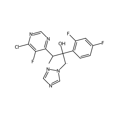 CC(c1ncnc(Cl)c1F)C(O)([CH]n1cncn1)c1ccc(F)cc1F